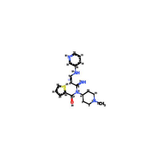 CN1CCC(N(C(=N)/C=C\Nc2cccnc2)C(=O)c2cccs2)CC1